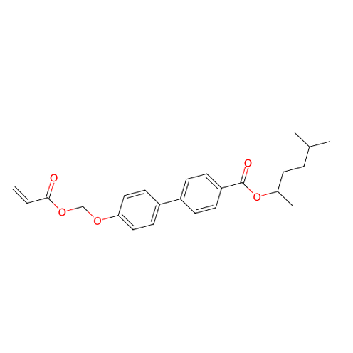 C=CC(=O)OCOc1ccc(-c2ccc(C(=O)OC(C)CCC(C)C)cc2)cc1